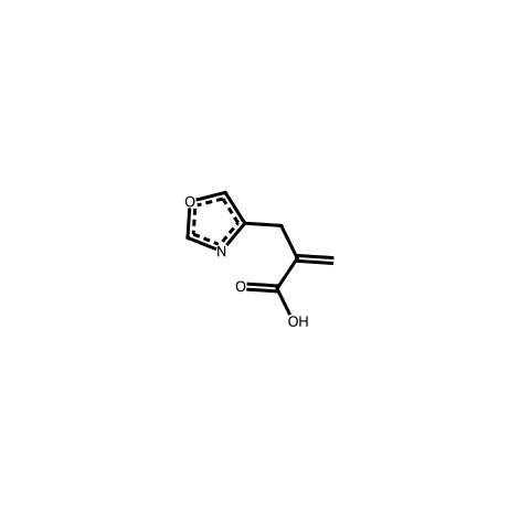 C=C(Cc1cocn1)C(=O)O